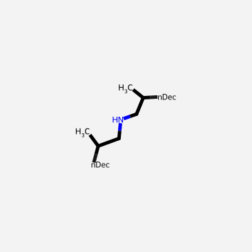 CCCCCCCCCCC(C)CNCC(C)CCCCCCCCCC